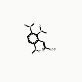 C[S+]([O-])c1ccc([S+](C)[O-])c([S+](C)[O-])c1/C=C(\S)C(=O)O